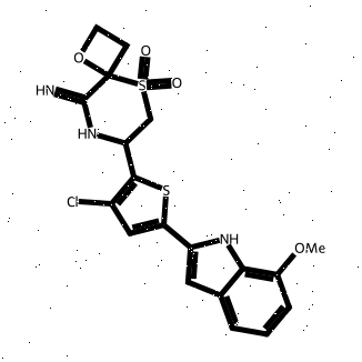 COc1cccc2cc(-c3cc(Cl)c(C4CS(=O)(=O)C5(CCO5)C(=N)N4)s3)[nH]c12